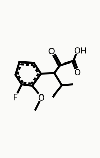 COc1c(F)cccc1C(C(=O)C(=O)O)C(C)C